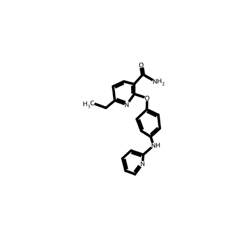 CCc1ccc(C(N)=O)c(Oc2ccc(Nc3ccccn3)cc2)n1